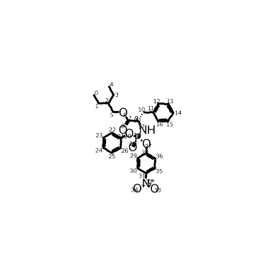 CCC(CC)COC(=O)[C@H](Cc1ccccc1)NP(=O)(Oc1ccccc1)Oc1ccc([N+](=O)[O-])cc1